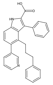 O=C(O)c1[nH]c2ccc(-c3cccnc3)c(CCCc3ccccc3)c2c1-c1ccccc1